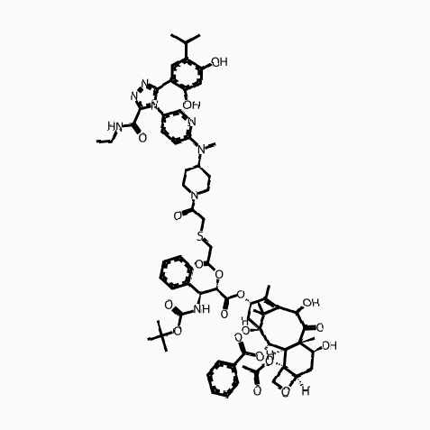 CCNC(=O)c1nnc(-c2cc(C(C)C)c(O)cc2O)n1-c1ccc(N(C)C2CCN(C(=O)CSCC(=O)O[C@@H](C(=O)O[C@H]3C[C@@]4(O)[C@@H](OC(=O)c5ccccc5)[C@@H]5[C@]6(OC(C)=O)CO[C@@H]6C[C@H](O)[C@@]5(C)C(=O)C(O)C(=C3C)C4(C)C)[C@@H](NC(=O)OC(C)(C)C)c3ccccc3)CC2)nc1